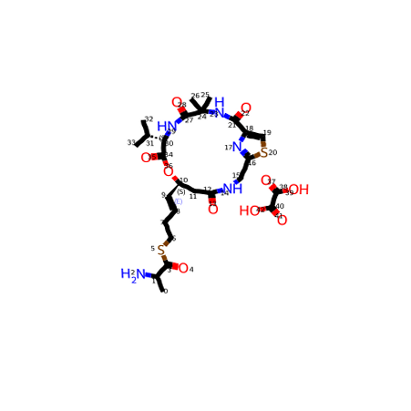 CC(N)C(=O)SCC/C=C/[C@@H]1CC(=O)NCc2nc(cs2)C(=O)NC(C)(C)C(=O)N[C@@H](C(C)C)C(=O)O1.O=C(O)C(=O)O